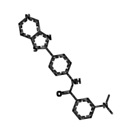 CN(C)c1cccc(C(=O)Nc2ccc(-c3nc4cnccc4s3)cc2)c1